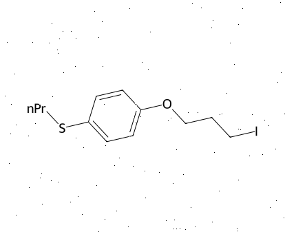 CCCSc1ccc(OCCCI)cc1